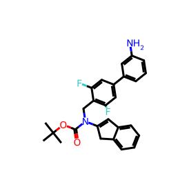 CC(C)(C)OC(=O)N(Cc1c(F)cc(-c2cccc(N)c2)cc1F)C1=Cc2ccccc2C1